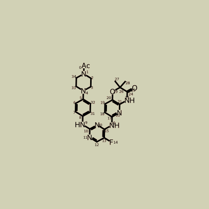 CC(=O)N1CCN(c2ccc(Nc3ncc(F)c(Nc4ccc5c(n4)NC(=O)C(C)(C)O5)n3)cc2)CC1